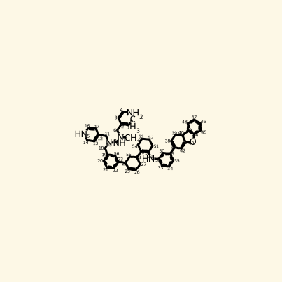 C/C=C(\C=C/N)CN(C)NN(CC1=CCNC=C1)Cc1cccc(C2C=CCC(C3=C(Nc4cccc(C5=CCC6C(=C5)Oc5ccccc56)c4)CCCC3)C2)c1